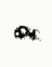 CC[C@H](NC=O)C(=O)N[C@@H](Cc1ccc(OC)cc1)C(=O)N1CCC[C@@]1(C)C(=O)NCCc1ccc2c(c1)CN(N)/C=C(\N)Cn1cc(c3cc(F)ccc31)C[C@@H]1NC(=O)[C@H](Cc3cccc(c3)C/C=C/CO[C@H](C)CCN(C)C1=O)NC(=O)CNC(=O)CCCCCC(=O)NC2